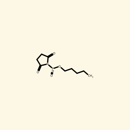 CCCCCO[PH](=O)N1C(=O)CCC1=O